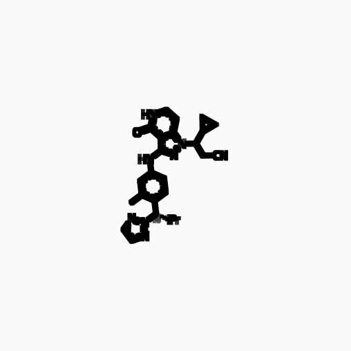 Cc1cc(Nc2nn(C(CC#N)C3CC3)c3cc[nH]c(=O)c23)ccc1[C@H](C(C)C)n1nccn1